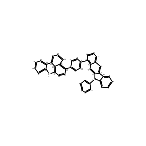 c1ccc(-n2c3ccccc3c3cc4cccc(-c5ccc(-c6ccc7c8c(cccc68)-c6ccccc6O7)cc5)c4cc32)cc1